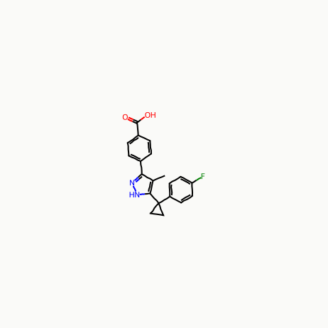 Cc1c(-c2ccc(C(=O)O)cc2)n[nH]c1C1(c2ccc(F)cc2)CC1